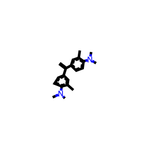 C=C(c1ccc(N(C)C)c(C)c1)c1ccc(N(C)C)c(C)c1